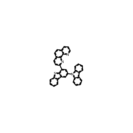 c1cnc2c(c1)ccc1ccc(-c3cc(-n4c5ccccc5c5ccccc54)cc4c3sc3ccccc34)nc12